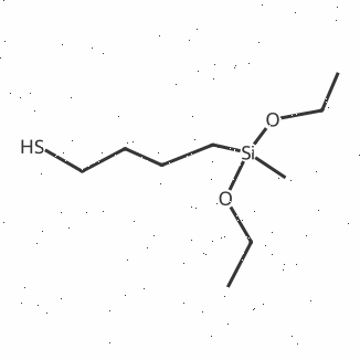 CCO[Si](C)(CCCCS)OCC